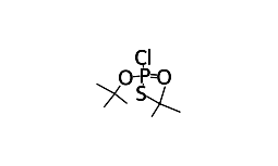 CC(C)(C)OP(=O)(Cl)SC(C)(C)C